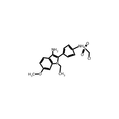 CCn1c(-c2ccc(NS(=O)(=O)CCl)cc2)c(N)c2ccc(OC)cc21